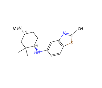 CN[C@@H]1CC[C@@H](Nc2ccc3sc(C#N)nc3c2)C(C)(C)C1